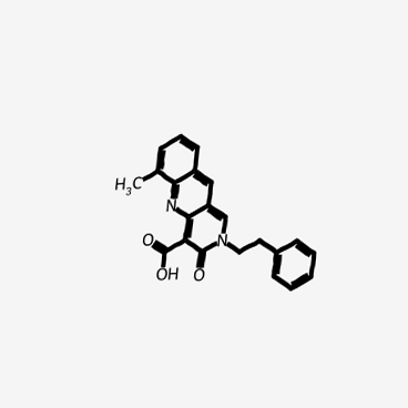 Cc1cccc2cc3cn(CCc4ccccc4)c(=O)c(C(=O)O)c3nc12